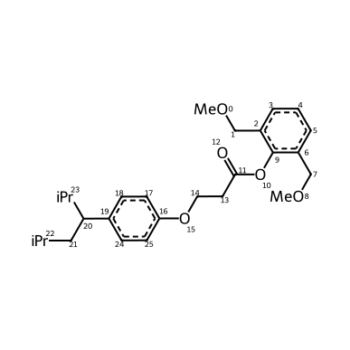 COCc1cccc(COC)c1OC(=O)CCOc1ccc(C(CC(C)C)C(C)C)cc1